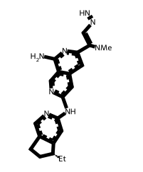 CC[C@@H]1CCc2cnc(Nc3cc4cc(/C(=C/N=N)NC)nc(N)c4cn3)cc21